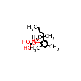 CCCCC(C)(C)c1cc(C)cc(C)c1O.O=C(O)O